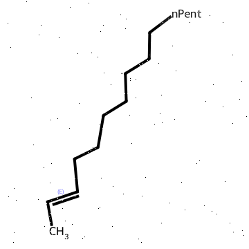 C/C=C/CCCC[CH]CCCCCCC